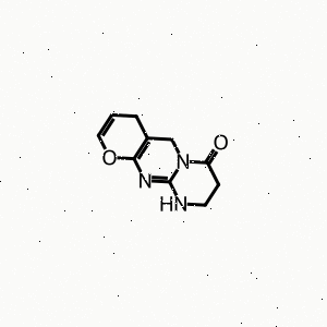 O=C1CCNC2=NC3=C(CC=CO3)CN12